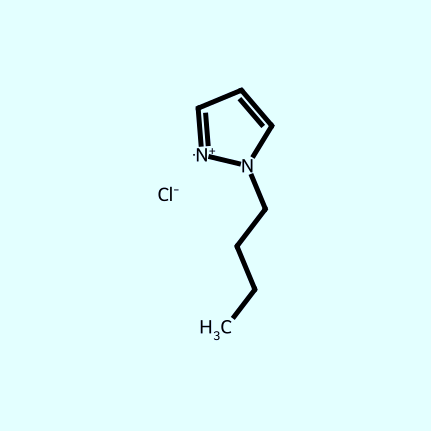 CCCCN1C=CC=[N+]1.[Cl-]